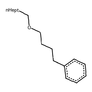 [CH2]CCCCCCCOCCCCc1ccccc1